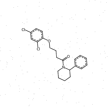 O=C(CCCOc1ccc(Cl)cc1Cl)N1CCCCC1c1ccccc1